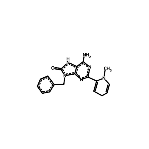 CN1C=CCC=C1c1nc(N)c2[nH]c(=O)n(Cc3ccccc3)c2n1